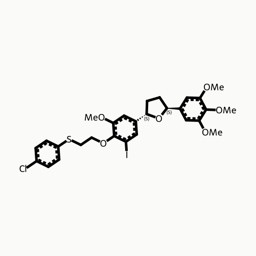 COc1cc([C@@H]2CC[C@@H](c3cc(OC)c(OC)c(OC)c3)O2)cc(I)c1OCCSc1ccc(Cl)cc1